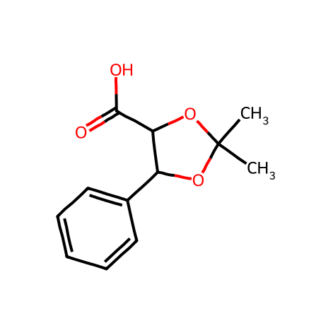 CC1(C)OC(C(=O)O)C(c2ccccc2)O1